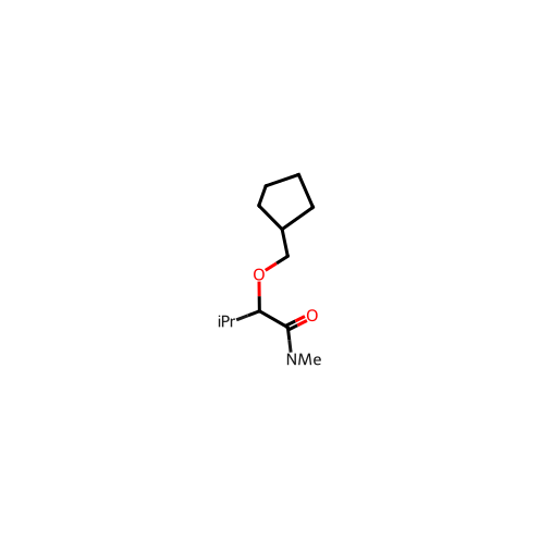 CNC(=O)C(OCC1CCCC1)C(C)C